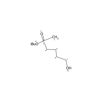 CC(C)COP(C)(=O)CCCCO